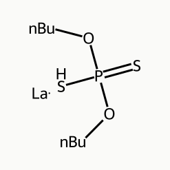 CCCCOP(=S)(S)OCCCC.[La]